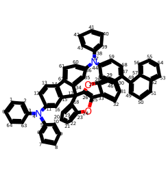 c1ccc(N(c2ccccc2)c2ccc3c(c2)C2(c4ccccc4Oc4c2oc2ccccc42)c2cc(N(c4ccccc4)c4ccc(-c5cccc6ccccc56)cc4)ccc2-3)cc1